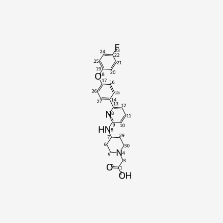 O=C(O)CN1CCC(Nc2cccc(-c3ccc(Oc4ccc(F)cc4)cc3)n2)CC1